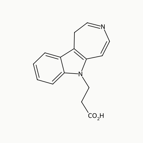 O=C(O)CCn1c2c(c3ccccc31)CC=NC=C2